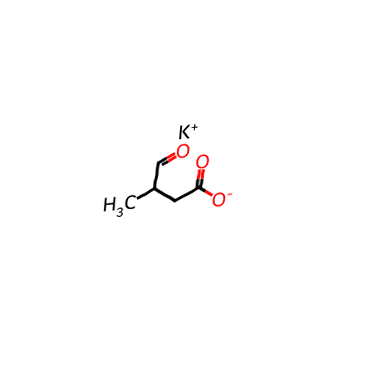 CC(C=O)CC(=O)[O-].[K+]